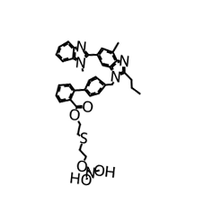 CCCc1nc2c(C)cc(-c3nc4ccccc4n3C)cc2n1Cc1ccc(-c2ccccc2C(=O)OCCSCCON(O)O)cc1